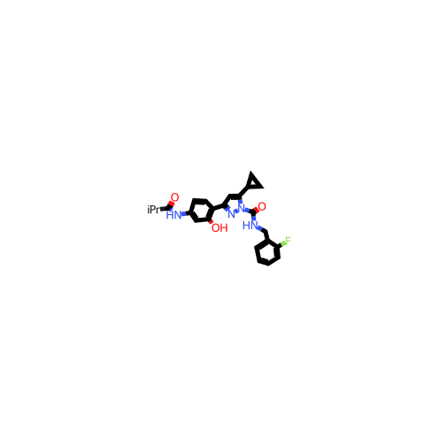 CC(C)C(=O)Nc1ccc(-c2cc(C3CC3)n(C(=O)NCc3ccccc3F)n2)c(O)c1